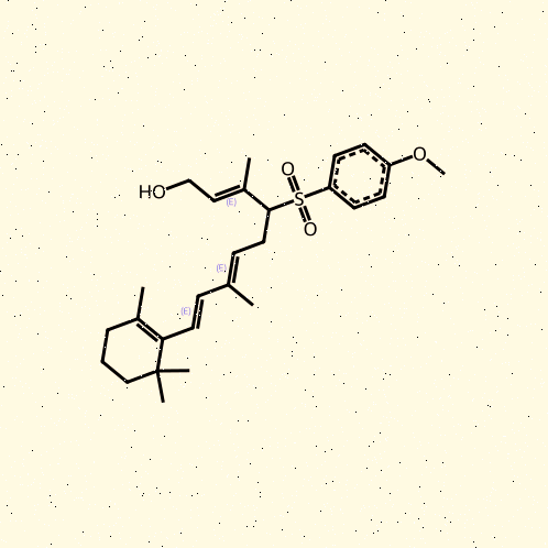 COc1ccc(S(=O)(=O)C(C/C=C(C)/C=C/C2=C(C)CCCC2(C)C)/C(C)=C/CO)cc1